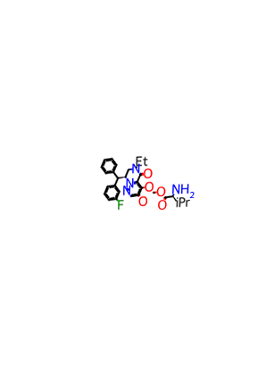 CCN1C[C@H](C(c2ccccc2)c2cccc(F)c2)n2ncc(=O)c(OCOC(=O)[C@@H](N)C(C)C)c2C1=O